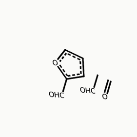 C=O.CC=O.O=Cc1ccco1